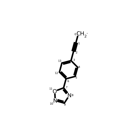 [CH2]C#Cc1ccc(-c2ncno2)cc1